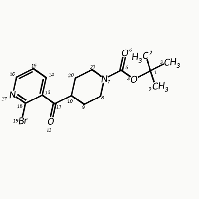 CC(C)(C)OC(=O)N1CCC(C(=O)c2cccnc2Br)CC1